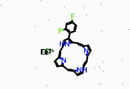 Fc1ccc(-c2cc3cc4nc(cc5ccc(cc6nc(cc2[nH]3)C=C6)[nH]5)C=C4)c(F)c1.[Cl-].[Cl-].[Fe+2]